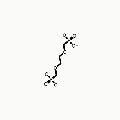 O=P(O)(O)COCCOCP(=O)(O)O